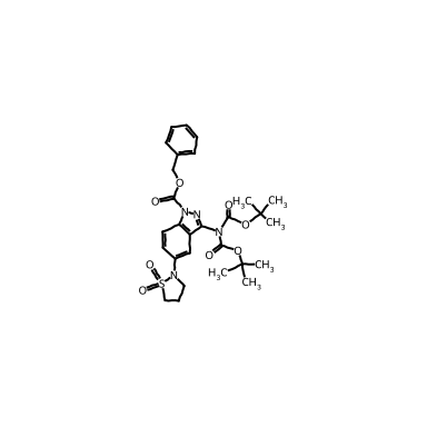 CC(C)(C)OC(=O)N(C(=O)OC(C)(C)C)c1nn(C(=O)OCc2ccccc2)c2ccc(N3CCCS3(=O)=O)cc12